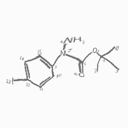 CC(C)(C)OC(=O)N(N)c1ccc(I)cc1